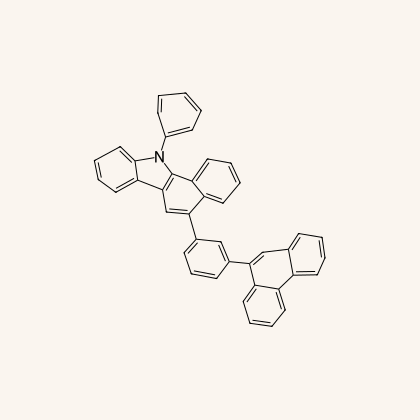 c1ccc(-n2c3ccccc3c3cc(-c4cccc(-c5cc6ccccc6c6ccccc56)c4)c4ccccc4c32)cc1